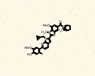 COc1cc(-c2ccc3cc(-c4nc5cc(C(=O)N6CC7CCC6[C@@H]7C)cc(OC)c5n4C)n(CC4CC4)c3n2)c(F)cc1O